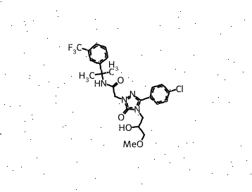 COCC(O)Cn1c(-c2ccc(Cl)cc2)nn(CC(=O)NC(C)(C)c2cccc(C(F)(F)F)c2)c1=O